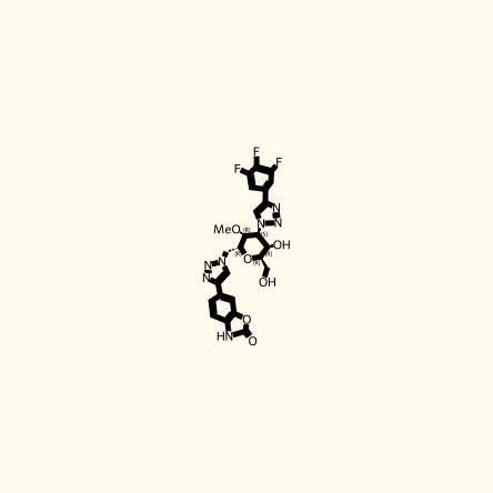 CO[C@@H]1[C@@H](n2cc(-c3cc(F)c(F)c(F)c3)nn2)[C@@H](O)[C@@H](CO)O[C@@H]1Cn1cc(-c2ccc3[nH]c(=O)oc3c2)nn1